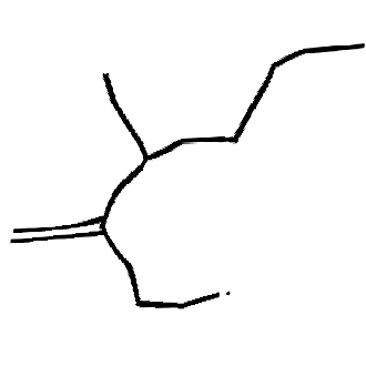 [CH2]CC(=C)C(C)CCC